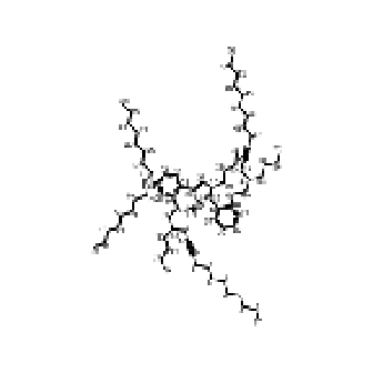 CCCCCCCCCC#CCC(CCCC)CCc1ccccc1C1=CC(CCCC)=C(c2ccccc2CCC(CC#CCCCCCCCCC)CCCC)[N+]1=[N-].CCCCCCC[CH2][Ni][CH2]CCCCCCC